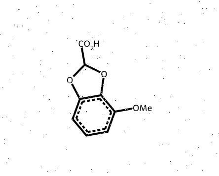 COc1cccc2c1OC(C(=O)O)O2